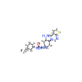 NC1=c2ccsc2=NCN1c1ccc(NC(=O)Nc2cccc(C(F)(F)F)c2)cc1